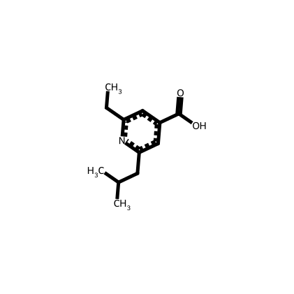 CCc1cc(C(=O)O)cc(CC(C)C)n1